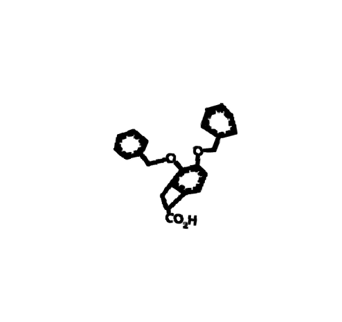 O=C(O)C1Cc2c1ccc(OCc1ccccc1)c2OCc1ccccc1